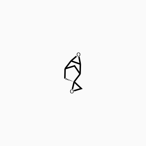 C1C2C[C@@]3(CO3)C1C1OC21